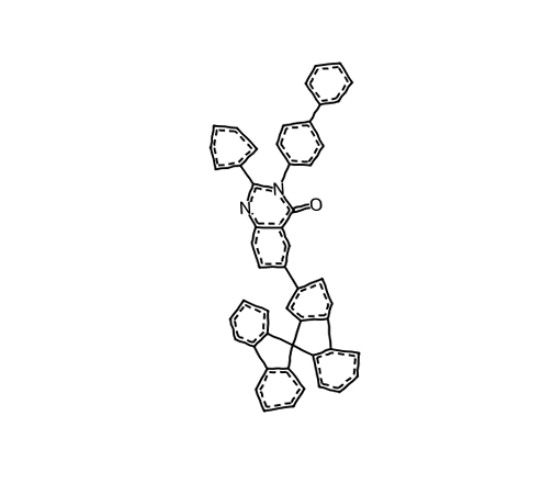 O=c1c2cc(-c3ccc4c(c3)C3(c5ccccc5-c5ccccc53)c3ccccc3-4)ccc2nc(-c2ccccc2)n1-c1ccc(-c2ccccc2)cc1